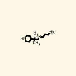 CC(C)(C)CCCNCC(C)(C)C1CCNCC1